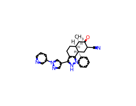 C[C@@H]1C(=O)C(C#N)C[C@@]2(c3ccccc3)c3n[nH]c(-c4cnn(-c5cccnc5)c4)c3CC[C@@H]12